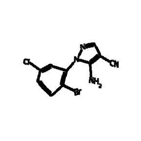 N#Cc1cnn(-c2cc(Cl)ccc2Br)c1N